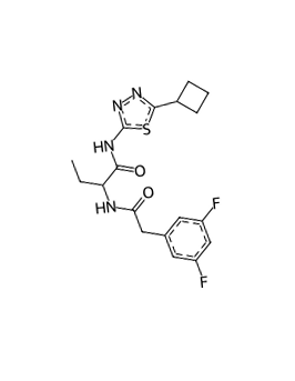 CCC(NC(=O)Cc1cc(F)cc(F)c1)C(=O)Nc1nnc(C2CCC2)s1